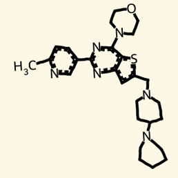 Cc1ccc(-c2nc(N3CCOCC3)c3sc(CN4CCC(N5CCCCC5)CC4)cc3n2)cn1